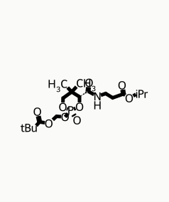 CC(C)OC(=O)CCNC(=O)[C@@H]1OP(=O)(OCOC(=O)C(C)(C)C)OCC1(C)C